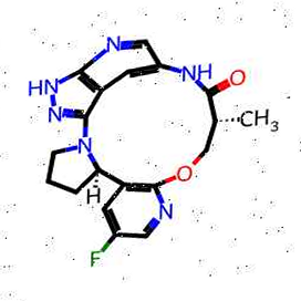 C[C@@H]1COc2ncc(F)cc2[C@H]2CCCN2c2n[nH]c3ncc(cc23)NC1=O